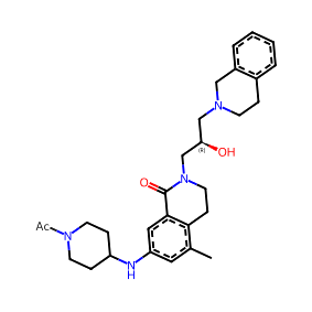 CC(=O)N1CCC(Nc2cc(C)c3c(c2)C(=O)N(C[C@H](O)CN2CCc4ccccc4C2)CC3)CC1